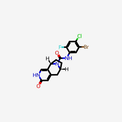 O=C(Nc1cc(Br)c(Cl)cc1F)N1[C@@H]2CC[C@H]1c1c[nH]c(=O)cc1C2